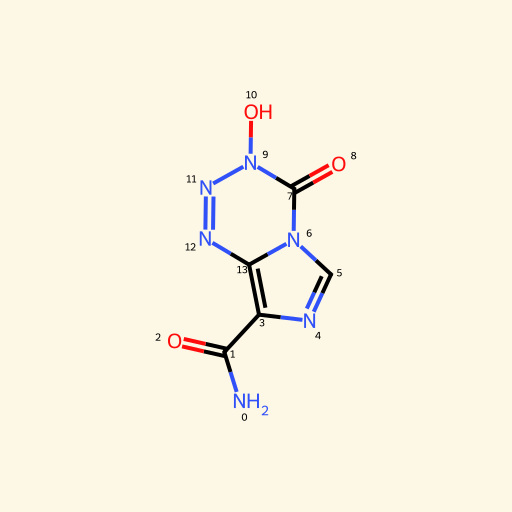 NC(=O)c1ncn2c(=O)n(O)nnc12